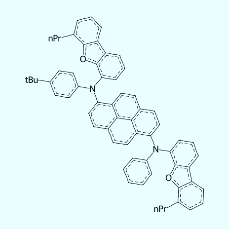 CCCc1cccc2c1oc1c(N(c3ccccc3)c3ccc4ccc5c(N(c6ccc(C(C)(C)C)cc6)c6cccc7c6oc6c(CCC)cccc67)ccc6ccc3c4c65)cccc12